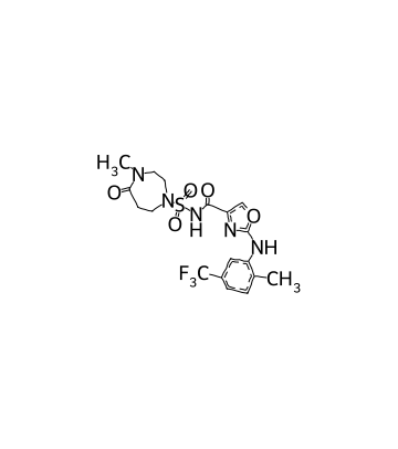 Cc1ccc(C(F)(F)F)cc1Nc1nc(C(=O)NS(=O)(=O)N2CCC(=O)N(C)CC2)co1